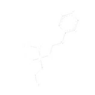 CCC[Si](OC)(OC)OCNc1ccccc1